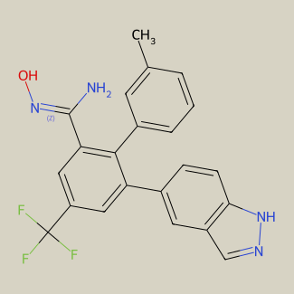 Cc1cccc(-c2c(/C(N)=N/O)cc(C(F)(F)F)cc2-c2ccc3[nH]ncc3c2)c1